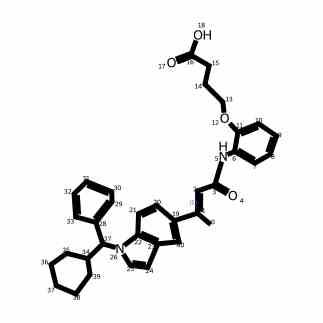 C/C(=C\C(=O)Nc1ccccc1OCCCC(=O)O)c1ccc2c(ccn2C(c2ccccc2)C2CCCCC2)c1